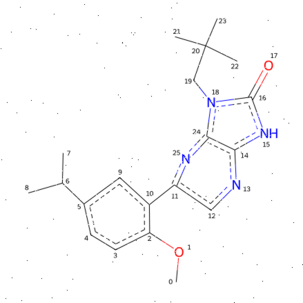 COc1ccc(C(C)C)cc1-c1cnc2[nH]c(=O)n(CC(C)(C)C)c2n1